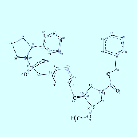 CO[C@H]1CN(C(=O)OCc2ccccc2)C[C@@H]1Oc1cccc(CS(=O)(=O)N2CCCC2c2ccccn2)c1